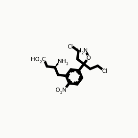 NOC(CCCl)(CCCl)c1ccc([N+](=O)[O-])c(C[C@H](N)CC(=O)O)c1